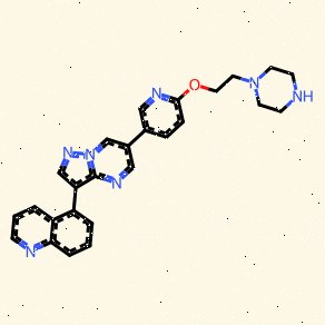 c1cc(-c2cnn3cc(-c4ccc(OCCN5CCNCC5)nc4)cnc23)c2cccnc2c1